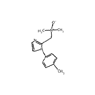 Cc1ccc(-n2ccnc2C[N+](C)(C)[O-])cc1